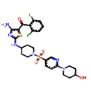 Nc1nc(NC2CCN(S(=O)(=O)c3ccc(N4CCC(O)CC4)nc3)CC2)sc1C(=O)c1c(F)cccc1F